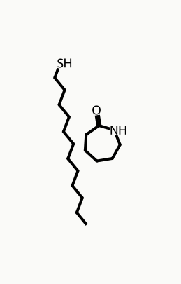 CCCCCCCCCCCCS.O=C1CCCCCN1